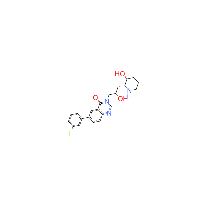 O=c1c2cc(-c3cccc(F)c3)ccc2ncn1CC(O)C[C@H]1NCCC[C@@H]1O